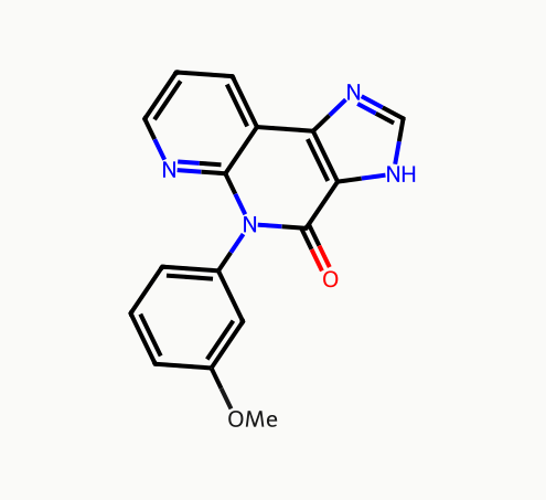 COc1cccc(-n2c(=O)c3[nH]cnc3c3cccnc32)c1